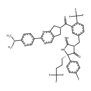 CN(C)c1ccc(-c2ncc3c(n2)CN(C(=O)c2cc(CN4C(=N)N[C@](CCCC(F)(F)F)(c5ccc(F)cc5)C4=O)ccc2C(F)(F)F)C3)cn1